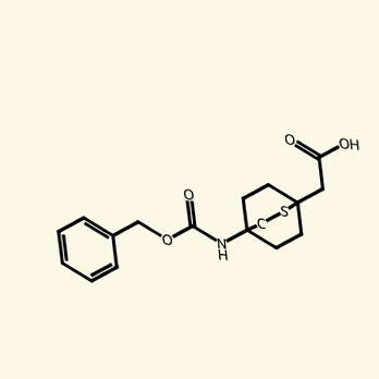 O=C(O)CC12CCC(NC(=O)OCc3ccccc3)(CC1)CS2